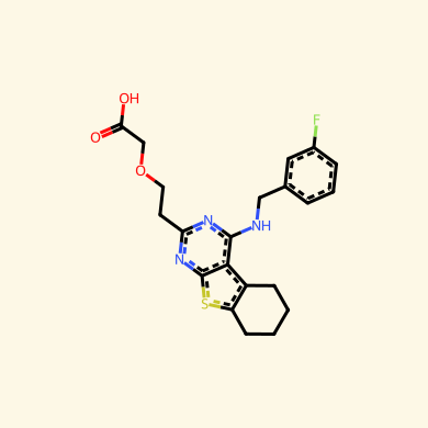 O=C(O)COCCc1nc(NCc2cccc(F)c2)c2c3c(sc2n1)CCCC3